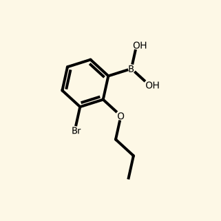 CCCOc1c(Br)cccc1B(O)O